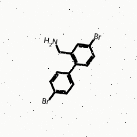 NCc1cc(Br)ccc1-c1ccc(Br)cc1